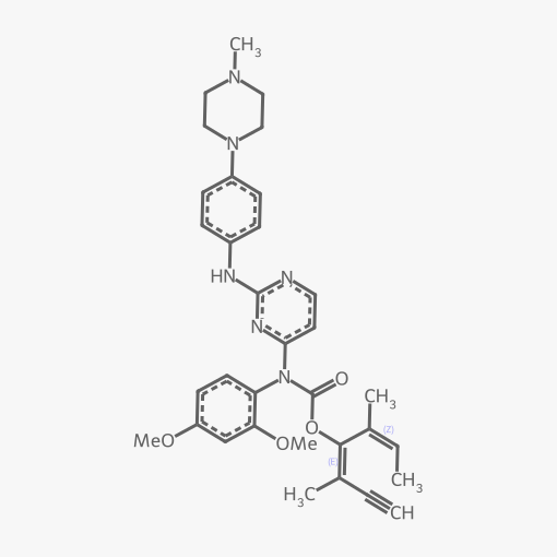 C#C/C(C)=C(OC(=O)N(c1ccnc(Nc2ccc(N3CCN(C)CC3)cc2)n1)c1ccc(OC)cc1OC)\C(C)=C/C